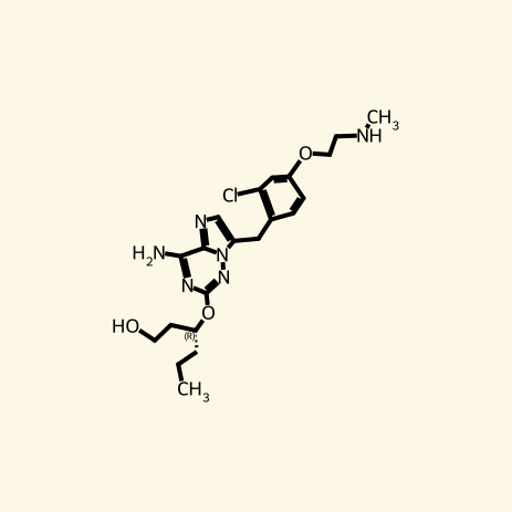 CCC[C@H](CCO)Oc1nc(N)c2ncc(Cc3ccc(OCCNC)cc3Cl)n2n1